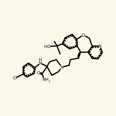 CC(C)(O)c1ccc2c(c1)C(=CCCN1CCC(Nc3ccc(Cl)cc3)(C(N)=O)CC1)c1cccnc1CO2